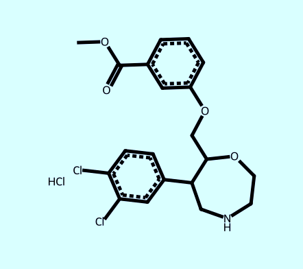 COC(=O)c1cccc(OCC2OCCNCC2c2ccc(Cl)c(Cl)c2)c1.Cl